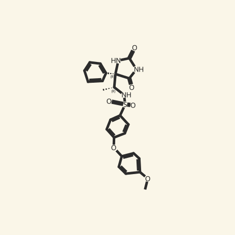 COc1ccc(Oc2ccc(S(=O)(=O)N[C@H](C)[C@@]3(c4ccccc4)NC(=O)NC3=O)cc2)cc1